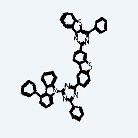 c1ccc(-c2nc(-c3ccc4sc5cc(-c6nc(-c7ccccc7)c7sc8ccccc8c7n6)ccc5c4c3)nc(-n3c4ccccc4c4c(-c5ccccc5)cccc43)n2)cc1